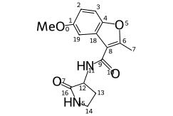 COc1ccc2oc(C)c(C(=O)NC3CCNC3=O)c2c1